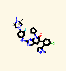 C[C@@H]1CN(c2ccc(Nc3ncc4cc(-c5ccc(Cl)cc5-c5ccnn5C)c(=O)n(C5CCCC5)c4n3)cc2F)C[C@H](C)N1